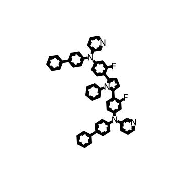 Fc1cc(N(c2ccc(-c3ccccc3)cc2)c2cccnc2)ccc1-c1ccc(-c2ccc(N(c3ccc(-c4ccccc4)cc3)c3cccnc3)cc2F)n1-c1ccccc1